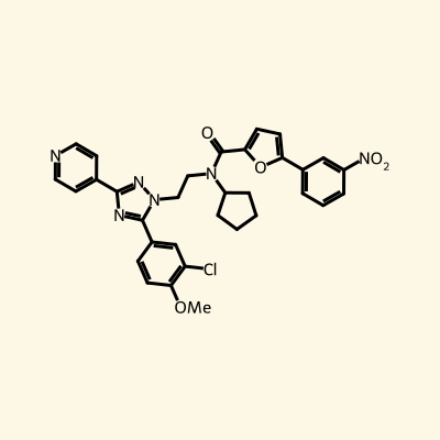 COc1ccc(-c2nc(-c3ccncc3)nn2CCN(C(=O)c2ccc(-c3cccc([N+](=O)[O-])c3)o2)C2CCCC2)cc1Cl